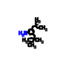 CCCC(C)(CC)Cc1cc(N)cc(CC(C)CC)c1